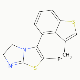 Cc1csc2cccc(C3=C(C(C)C)SC4=NCCN43)c12